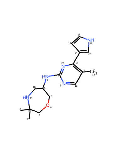 CC1(C)COCC(Nc2ncc(C(F)(F)F)c(-c3cc[nH]c3)n2)CN1